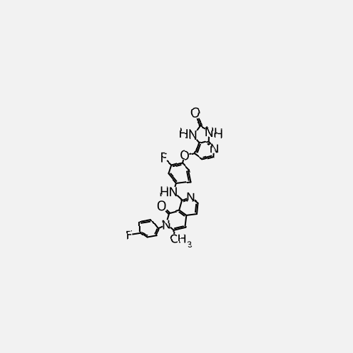 Cc1cc2ccnc(Nc3ccc(Oc4ccnc5[nH]c(=O)[nH]c45)c(F)c3)c2c(=O)n1-c1ccc(F)cc1